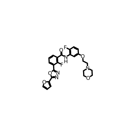 O=C(Nc1cc(OCCN2CCOCC2)ccc1F)c1cccc(-c2nnc(-c3ccco3)o2)c1F